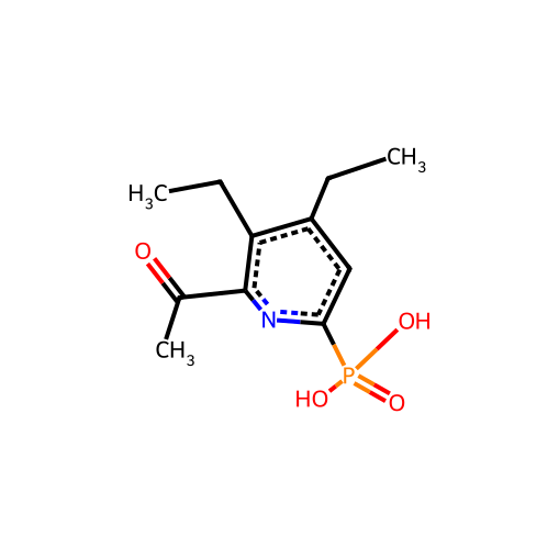 CCc1cc(P(=O)(O)O)nc(C(C)=O)c1CC